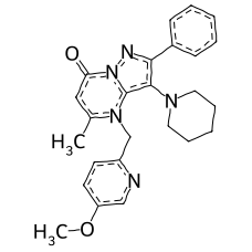 COc1ccc(Cn2c(C)cc(=O)n3nc(-c4ccccc4)c(N4CCCCC4)c23)nc1